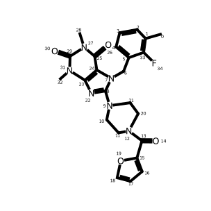 Cc1cccc(Cn2c(N3CCN(C(=O)c4ccco4)CC3)nc3c2c(=O)n(C)c(=O)n3C)c1F